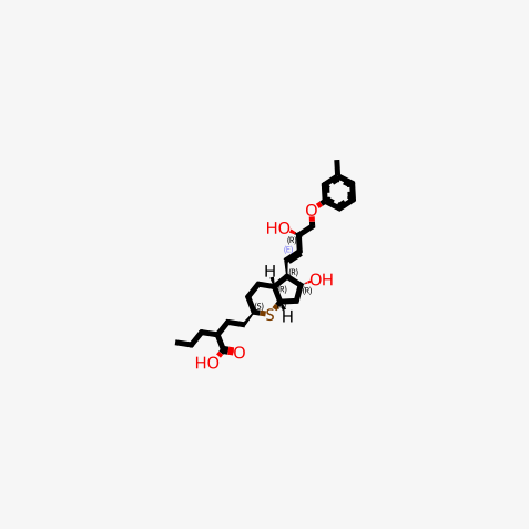 CCCC(CC[C@H]1CC[C@@H]2[C@@H](/C=C/[C@@H](O)COc3cccc(C)c3)[C@H](O)C[C@@H]2S1)C(=O)O